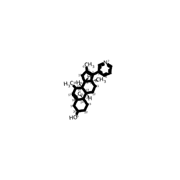 CC1=C(c2cccnc2)[C@@]2(C)CC[C@@H]3[C@@H](C(C)C=C4CC(O)CC[C@@]43C)[C@@H]2C1